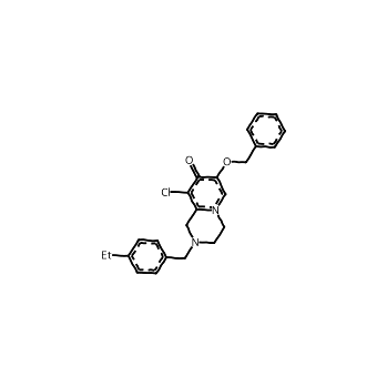 CCc1ccc(CN2CCn3cc(OCc4ccccc4)c(=O)c(Cl)c3C2)cc1